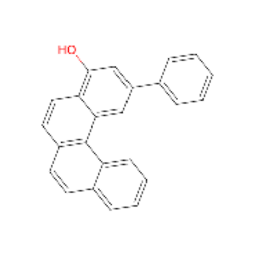 Oc1cc(-c2ccccc2)cc2c1ccc1ccc3ccccc3c12